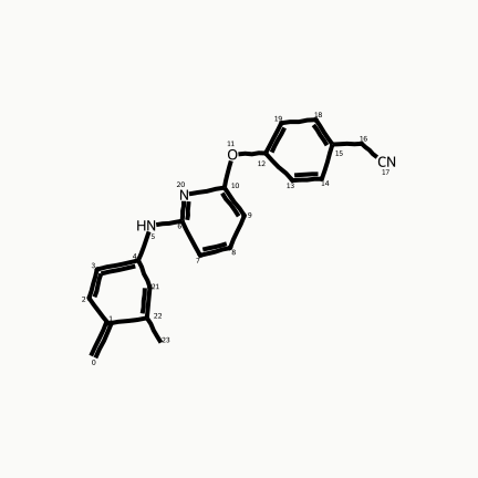 C=C1C=C=C(Nc2cccc(Oc3ccc(CC#N)cc3)n2)C=C1C